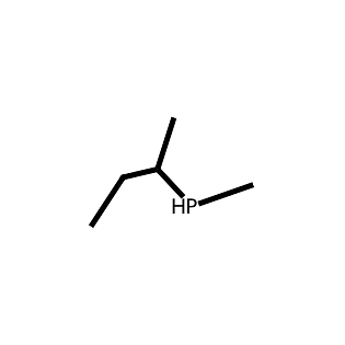 CCC(C)PC